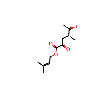 CC(=O)[C@@H](C)CC(=O)C(=O)OCC=C(C)C